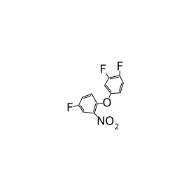 O=[N+]([O-])c1cc(F)ccc1Oc1ccc(F)c(F)c1